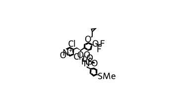 CSc1ccc(CN(CC(=O)O[C@@H](Cc2c(Cl)c[n+]([O-])cc2Cl)c2ccc(OC(F)F)c(OCC3CC3)c2)[SH](=O)=O)cc1